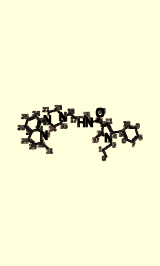 CCCN1C(c2ccccc2)=CC(C(=O)NCCCN2CCN(c3cccc4ccc(C)nc34)CC2)C1C